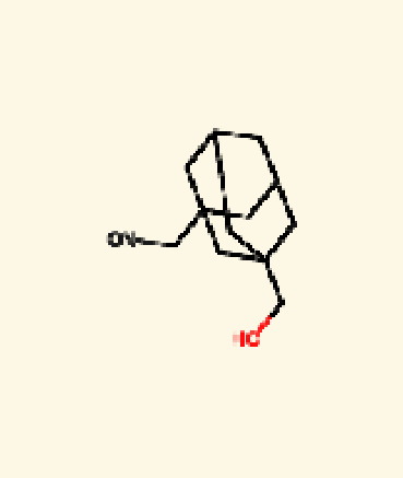 O=NCC12CC3CC(CC(CO)(C3)C1)C2